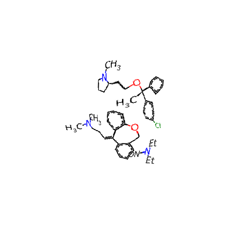 CCN(CC)N=O.CN(C)CCC=C1c2ccccc2COc2ccccc21.CN1CCC[C@@H]1CCO[C@](C)(c1ccccc1)c1ccc(Cl)cc1